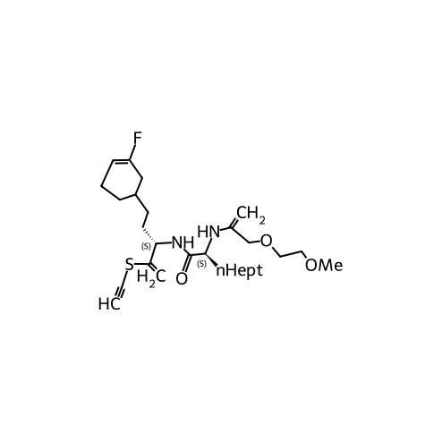 C#CSC(=C)[C@H](CCC1CCC=C(F)C1)NC(=O)[C@H](CCCCCCC)NC(=C)COCCOC